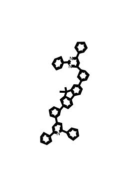 CC1(C)c2cc(-c3cccc(-c4cc(-c5ccccc5)nc(-c5ccccc5)c4)c3)ccc2-c2ccc(-c3cccc(-c4cc(-c5ccccc5)nc(-c5ccccc5)n4)c3)cc21